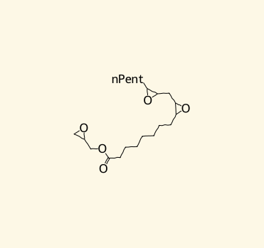 CCCCCC1OC1CC1OC1CCCCCCCC(=O)OCC1CO1